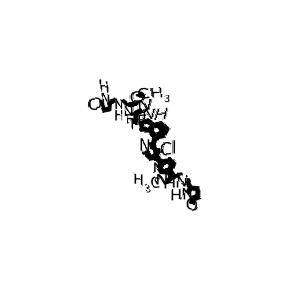 COc1nc(N[C@H]2CCc3c(-c4nccc(-c5ccc6c(CNCC7CCC(=O)N7)cn(C)c6n5)c4Cl)cccc32)c(C(F)(F)F)nc1CNCC1CCC(=O)N1